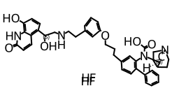 F.F.O=C(O)N(c1cc(CCCOc2cccc(CCNC[C@@H](O)c3ccc(O)c4[nH]c(=O)ccc34)c2)ccc1-c1ccccc1)[C@H]1CN2CCC1CC2